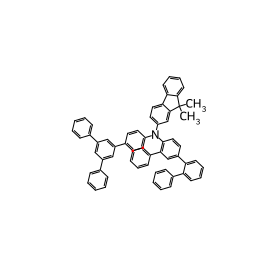 CC1(C)c2ccccc2-c2ccc(N(c3ccc(-c4cc(-c5ccccc5)cc(-c5ccccc5)c4)cc3)c3ccc(-c4ccccc4-c4ccccc4)cc3-c3ccccc3)cc21